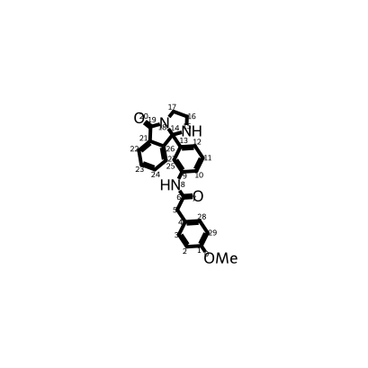 COc1ccc(CC(=O)Nc2cccc(C34NCCN3C(=O)c3ccccc34)c2)cc1